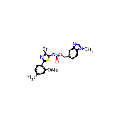 CCc1nc(-c2ccc(C)cc2OC)sc1NC(=O)OCc1ccc2c(c1)ncn2C